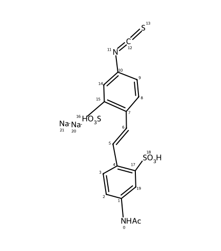 CC(=O)Nc1ccc(C=Cc2ccc(N=C=S)cc2S(=O)(=O)O)c(S(=O)(=O)O)c1.[Na].[Na]